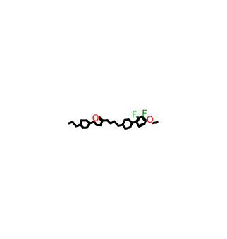 CCCC1CCC(C2CCC(CCCCC3CCC(c4ccc(OCC)c(F)c4F)CC3)=CO2)CC1